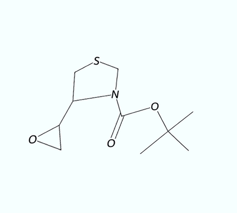 CC(C)(C)OC(=O)N1CSCC1C1CO1